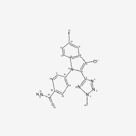 Cn1nnc(-c2c(Cl)c3cc(F)ccc3n2-c2ccc(C(N)=O)cc2)n1